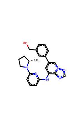 C[C@H]1CCCN1c1cccc(Nc2cc(-c3cccc(CO)c3)cn3ncnc23)n1